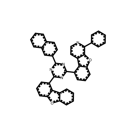 c1ccc(-c2nccc3c2oc2cccc(-c4nc(-c5ccc6ccccc6c5)nc(-c5cccc6oc7ccccc7c56)n4)c23)cc1